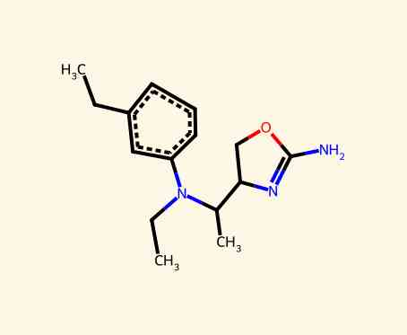 CCc1cccc(N(CC)C(C)C2COC(N)=N2)c1